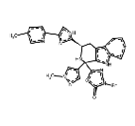 Cc1ccc(-c2c[nH]c([C@H]3Cc4c([nH]c5ccccc45)C(c4cnn(C)c4)(c4nn(C(C)C)c(=O)o4)N3)n2)nc1